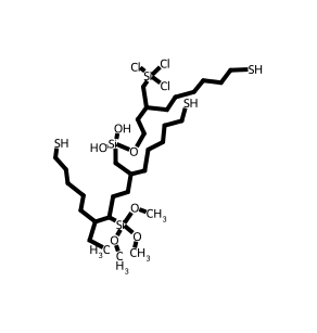 CCC(CCCCCS)C(CCC(CCCCCS)C[Si](O)(O)OCCC(CCCCCCS)C[Si](Cl)(Cl)Cl)[Si](OC)(OC)OC